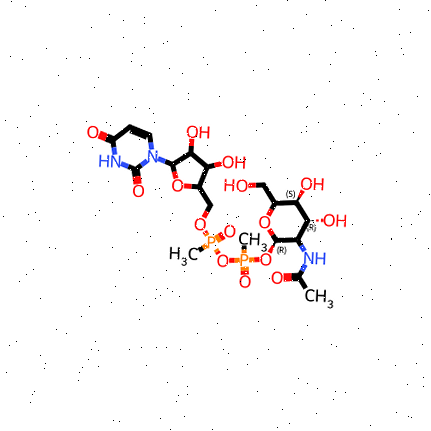 CC(=O)NC1[C@@H](OP(C)(=O)OP(C)(=O)OCC2OC(n3ccc(=O)[nH]c3=O)C(O)C2O)OC(CO)[C@@H](O)[C@@H]1O